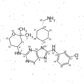 CC1(C)CC(Nc2ncc3nc(Nc4cccc(Cl)c4)n([C@H]4CC[C@@H](CN)CC4)c3n2)CCO1